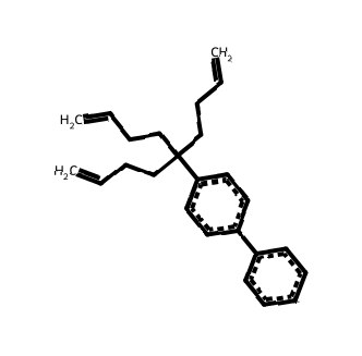 C=CCCC(CCC=C)(CCC=C)c1ccc(-c2cc[c]cc2)cc1